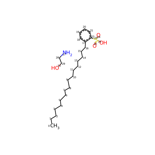 CCCCCCCCCCCCCCCCCc1ccccc1S(=O)(=O)O.NCCO